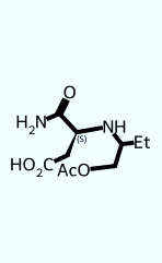 CCC(COC(C)=O)N[C@@H](CC(=O)O)C(N)=O